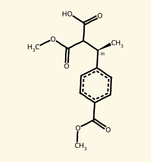 COC(=O)c1ccc([C@H](C)C(C(=O)O)C(=O)OC)cc1